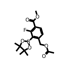 COC(=O)c1ccc(COC(C)=O)c(B2OC(C)(C)C(C)(C)O2)c1F